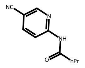 CCCC(=O)Nc1ccc(C#N)cn1